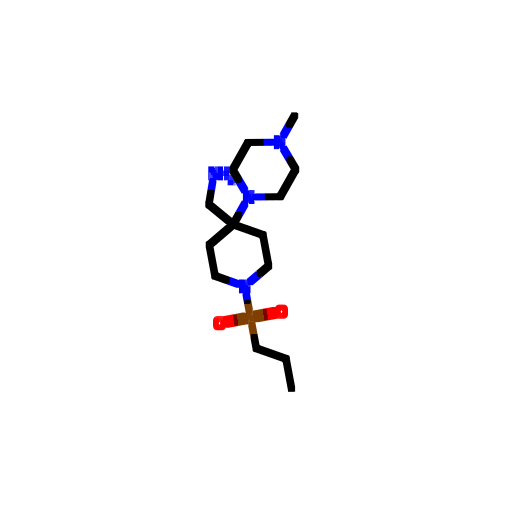 CCCS(=O)(=O)N1CCC(CN)(N2CCN(C)CC2)CC1